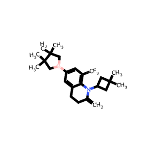 C=C1CCc2cc(B3CC(C)(C)C(C)(C)C3)cc(C(F)(F)F)c2N1C1CC(C)(C)C1